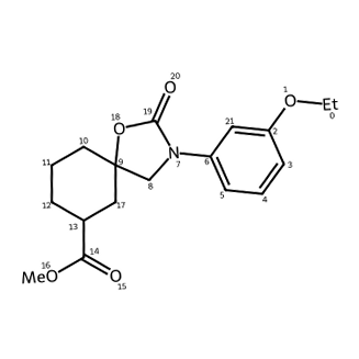 CCOc1cccc(N2CC3(CCCC(C(=O)OC)C3)OC2=O)c1